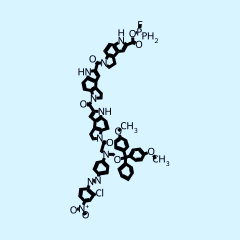 COc1ccc(C(OCN(CC(=O)N2CCc3c2ccc2[nH]c(C(=O)N4CCc5c4ccc4[nH]c(C(=O)N6CCc7c6ccc6[nH]c(C(=O)OP(F)P)cc76)cc54)cc32)c2ccc(N=Nc3ccc([N+](=O)[O-])cc3Cl)cc2)(c2ccccc2)c2ccc(OC)cc2)cc1